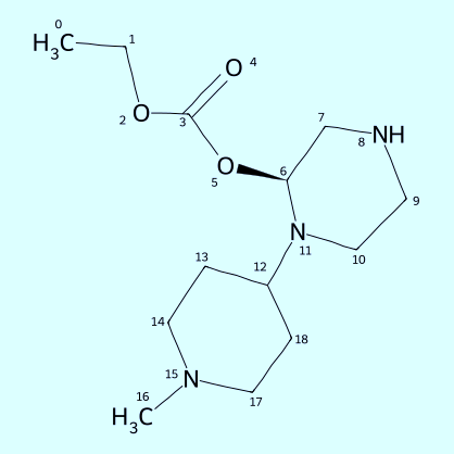 CCOC(=O)O[C@H]1CNCCN1C1CCN(C)CC1